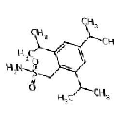 CC(C)c1cc(C(C)C)c(CS(N)(=O)=O)c(C(C)C)c1